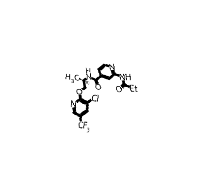 CCC(=O)Nc1cc(C(=O)N[C@H](C)COc2ncc(C(F)(F)F)cc2Cl)ccn1